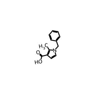 Cc1c(C(=O)O)ccn1Cc1ccccc1